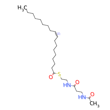 CCCCCCCC/C=C\CCCCCCCC(=O)SCCNC(=O)CCNC(C)=O